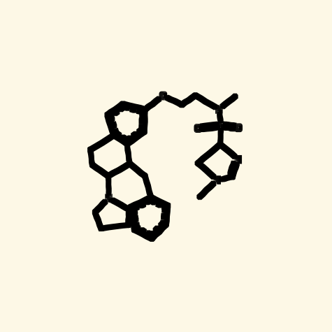 CN1C=NC(S(=O)(=O)N(C)CCOc2ccc3c(c2)C(Cc2ccccc2)C(N2CCCC2)CC3)C1